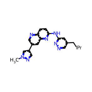 CC(C)Cc1cnnc(Nc2ccc3ncc(-c4cnn(C)c4)cc3n2)c1